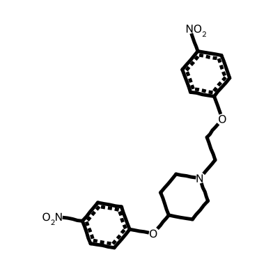 O=[N+]([O-])c1ccc(OCCN2CCC(Oc3ccc([N+](=O)[O-])cc3)CC2)cc1